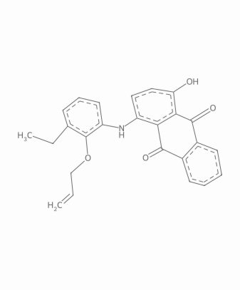 C=CCOc1c(CC)cccc1Nc1ccc(O)c2c1C(=O)c1ccccc1C2=O